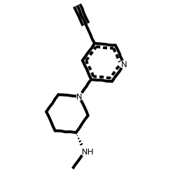 C#Cc1cncc(N2CCC[C@@H](NC)C2)c1